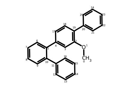 COc1cc(-c2ccccc2-c2ccccc2)ccc1-c1ccccc1